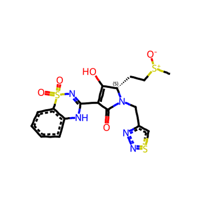 C[S+]([O-])CC[C@H]1C(O)=C(C2=NS(=O)(=O)c3ccccc3N2)C(=O)N1Cc1csnn1